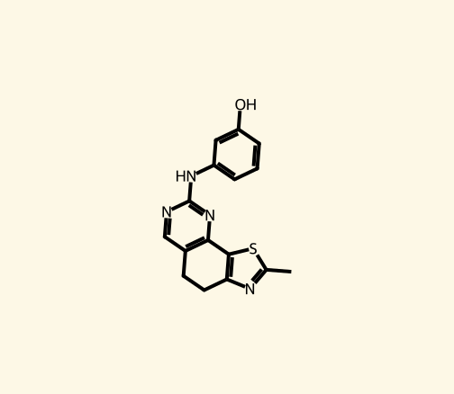 Cc1nc2c(s1)-c1nc(Nc3cccc(O)c3)ncc1CC2